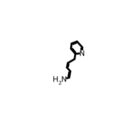 N/C=C\C=C/Cc1ccccn1